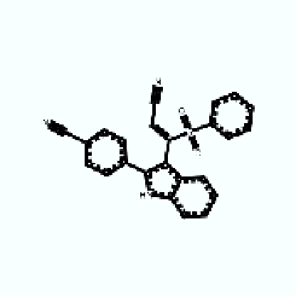 N#CC=C(c1c(-c2ccc(C#N)cc2)[nH]c2ccccc12)S(=O)(=O)c1ccccc1